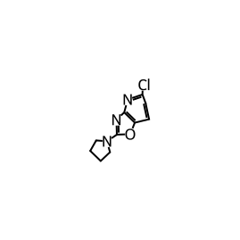 Clc1ccc2oc(N3CCCC3)nc2n1